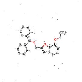 O=C(O)COc1cccc2cc(COC(c3ccccc3)c3ccccc3)oc12